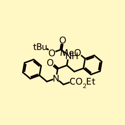 CCOC(=O)CN(Cc1ccccc1)C(=O)C(Cc1ccccc1OC)NC(=O)OC(C)(C)C